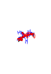 CCN1CCN(C2CC3(CCN(c4ccc(C(=O)NS(=O)(=O)c5cnc(NCC6CCC(N=S(C)(C)=O)CC6)c([N+](=O)[O-])c5)c(Oc5cnc6[nH]ccc6c5)c4)CC3)C2)[C@H](c2ccccc2C2CC2)C1